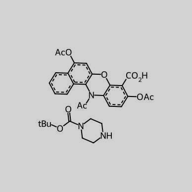 CC(=O)Oc1ccc2c(c1C(=O)O)Oc1cc(OC(C)=O)c3ccccc3c1N2C(C)=O.CC(C)(C)OC(=O)N1CCNCC1